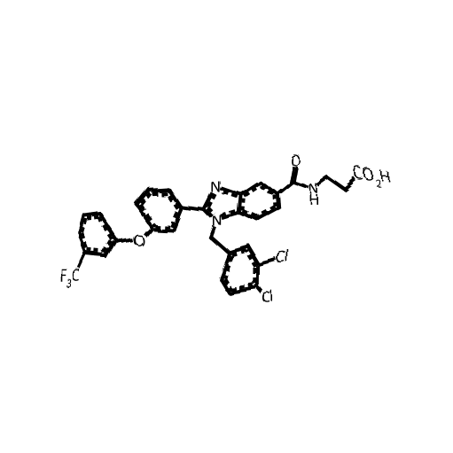 O=C(O)CCNC(=O)c1ccc2c(c1)nc(-c1cccc(Oc3cccc(C(F)(F)F)c3)c1)n2Cc1ccc(Cl)c(Cl)c1